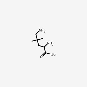 CC(C)(CN)CC(N)C(=O)C(C)(C)C